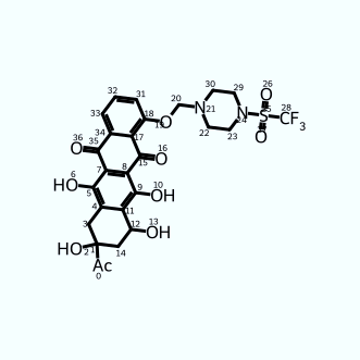 CC(=O)C1(O)Cc2c(O)c3c(c(O)c2C(O)C1)C(=O)c1c(OCN2CCN(S(=O)(=O)C(F)(F)F)CC2)cccc1C3=O